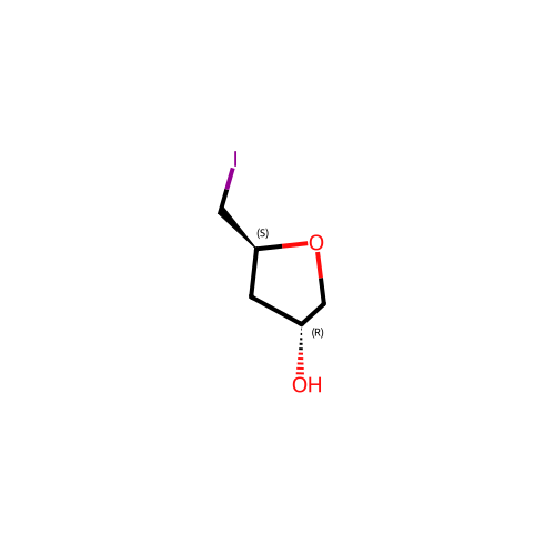 O[C@H]1CO[C@H](CI)C1